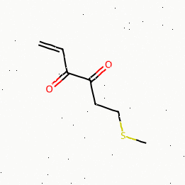 C=CC(=O)C(=O)CCSC